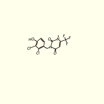 Cn1c(C(F)(F)F)cc(=O)n(Cc2ccc(O)c(Cl)c2Cl)c1=O